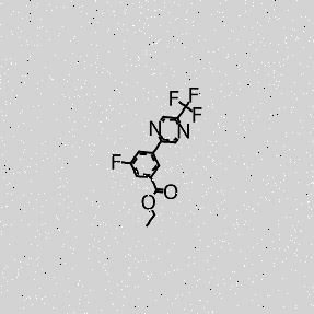 CCOC(=O)c1cc(F)cc(-c2cnc(C(F)(F)F)cn2)c1